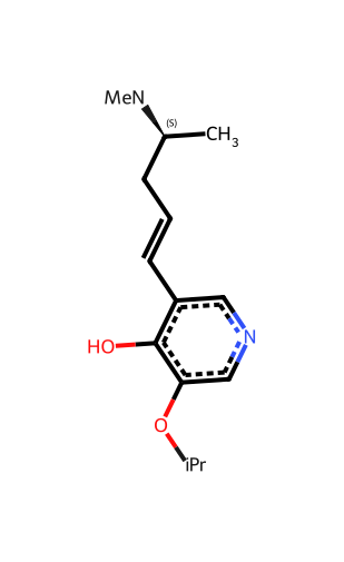 CN[C@@H](C)CC=Cc1cncc(OC(C)C)c1O